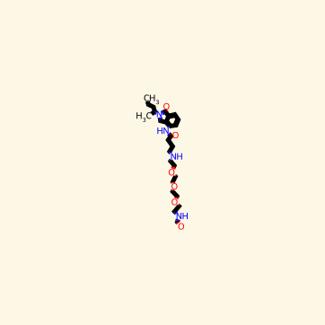 CCCC(C)N1Cc2c(NC(=O)CCCNCCOCCOCCOCCNC=O)cccc2C1=O